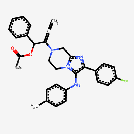 C=C=C(C(OC(=O)CCCC)c1ccccc1)N1CCn2c(nc(-c3ccc(F)cc3)c2Nc2ccc(C)cc2)C1